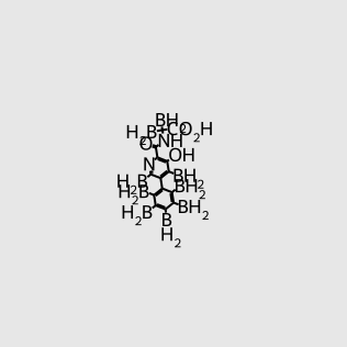 Bc1nc(C(=O)NC(B)(B)C(=O)O)c(O)c(B)c1-c1c(B)c(B)c(B)c(B)c1B